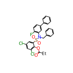 CCC(=O)Oc1c(Cl)cc(Cl)cc1S(=O)(=O)N(Cc1ccccc1)c1cc(-c2ccccc2)ccc1F